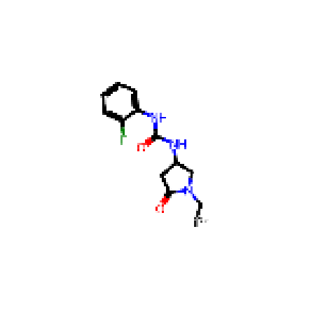 CC(C)CN1CC(NC(=O)Nc2ccccc2F)CC1=O